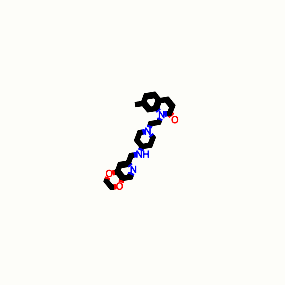 Cc1ccc2ccc(=O)n(CCN3CCC(NCc4cc5c(cn4)OCCO5)CC3)c2c1